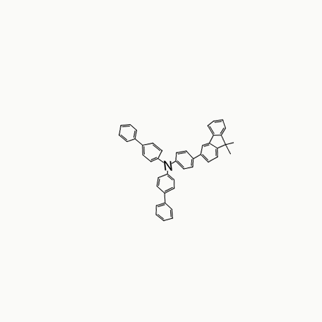 CC1(C)c2ccccc2-c2cc(-c3ccc(N(c4ccc(-c5ccccc5)cc4)c4ccc(-c5ccccc5)cc4)cc3)ccc21